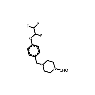 O=CN1CCN(Cc2ccc(OC(F)C(F)F)cc2)CC1